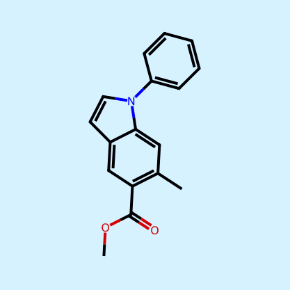 COC(=O)c1cc2ccn(-c3ccccc3)c2cc1C